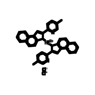 Cc1ccc(C2=Cc3c(ccc4ccccc34)[CH]2[Hf+2][CH]2C(c3ccc(C)cn3)=Cc3c2ccc2ccccc32)nc1.[Cl-].[Cl-]